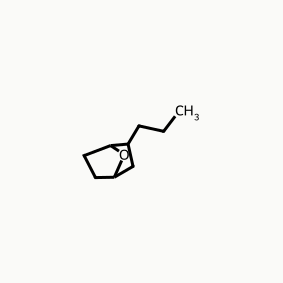 CCCC1CC2CCC1O2